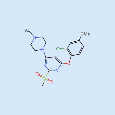 COc1ccc(Oc2cc(N3CCN(C(C)=O)CC3)nc(S(C)(=O)=O)n2)c(Cl)c1